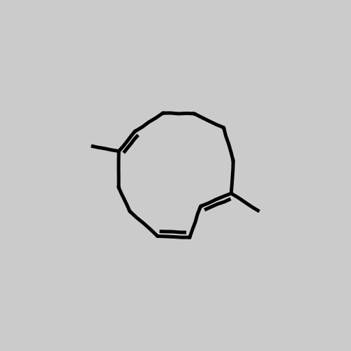 C/C1=C/CCCC/C(C)=C/C=C\CC1